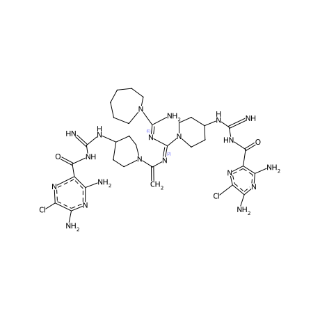 C=C(/N=C(\N=C(/N)N1CCCCCC1)N1CCC(NC(=N)NC(=O)c2nc(Cl)c(N)nc2N)CC1)N1CCC(NC(=N)NC(=O)c2nc(Cl)c(N)nc2N)CC1